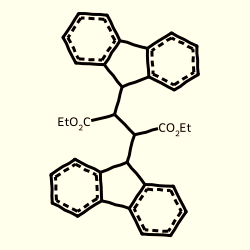 CCOC(=O)C(C1c2ccccc2-c2ccccc21)C(C(=O)OCC)C1c2ccccc2-c2ccccc21